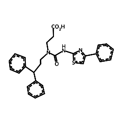 O=C(O)CCN(CCC(c1ccccc1)c1ccccc1)C(=O)Nc1nc(-c2ccccc2)cs1